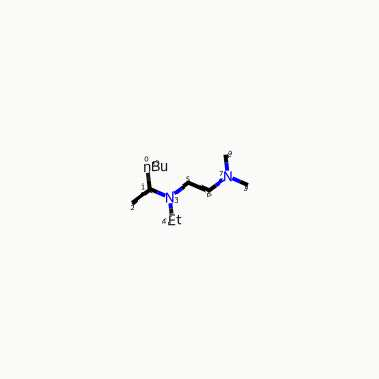 CCCCC(C)N(CC)CCN(C)C